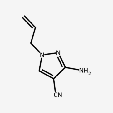 C=CCn1cc(C#N)c(N)n1